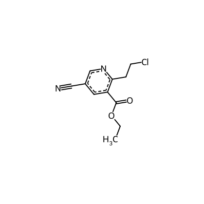 CCOC(=O)c1cc(C#N)cnc1CCCl